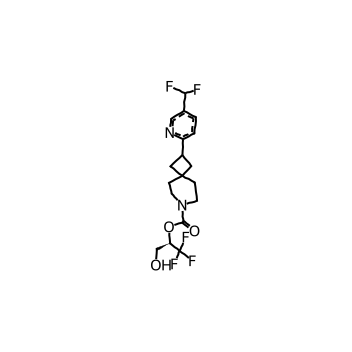 O=C(O[C@H](CO)C(F)(F)F)N1CCC2(CC1)CC(c1ccc(C(F)F)cn1)C2